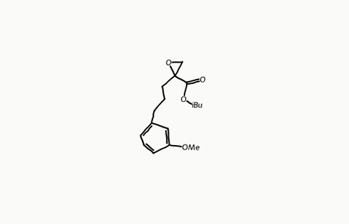 CCC(C)OC(=O)C1(CCCc2cccc(OC)c2)CO1